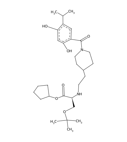 CC(C)c1cc(C(=O)N2CCC(CCN[C@@H](COC(C)(C)C)C(=O)OC3CCCC3)CC2)c(O)cc1O